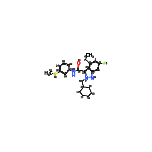 CCc1cc(F)cc2nn(CC3CCCCC3)c(C(=O)Nc3cccc(SC)c3)c12